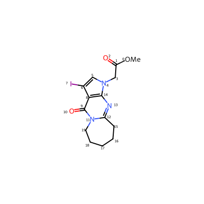 COC(=O)Cn1cc(I)c2c(=O)n3c(nc21)CCCCC3